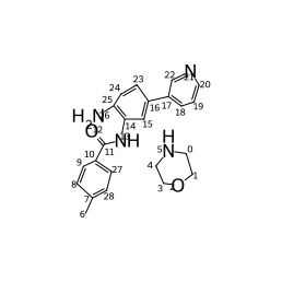 C1COCCN1.Cc1ccc(C(=O)Nc2cc(-c3cccnc3)ccc2N)cc1